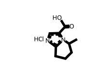 CC1CCCc2ncc(C(=O)O)n21.Cl